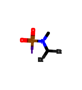 CCC(CC)N(C)S(=O)(=O)I